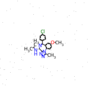 COc1ccc2c(c1)C(c1ccc(Cl)cc1)=N[C@@H](NC(C)C)c1nnc(C)n1-2